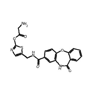 NCC(=O)Oc1ncc(CNC(=O)c2ccc3c(c2)NC(=O)c2ccccc2O3)s1